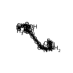 Cc1ncsc1-c1ccc(CNC(=O)[C@@H]2C[C@@H](O)CN2C(=O)[C@@H](NC(=O)CCOCCOCCOCCOCCOCCC(=O)N2CCC(n3cc(-c4cnc(N)c(O[C@H](C)c5c(Cl)ccc(F)c5Cl)c4)cn3)CC2)C(C)(C)C)cc1